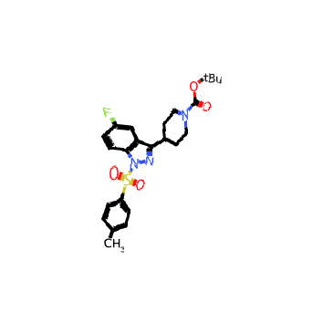 Cc1ccc(S(=O)(=O)n2nc(C3CCN(C(=O)OC(C)(C)C)CC3)c3cc(F)ccc32)cc1